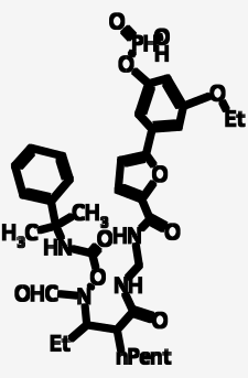 CCCCCC(C(=O)NCNC(=O)c1ccc(-c2cc(OCC)cc(O[PH](=O)O)c2)o1)C(CC)N(C=O)OC(=O)NC(C)(C)c1ccccc1